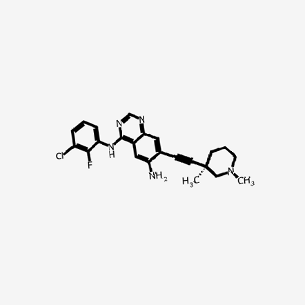 CN1CCC[C@](C)(C#Cc2cc3ncnc(Nc4cccc(Cl)c4F)c3cc2N)C1